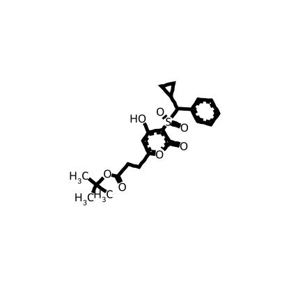 CC(C)(C)OC(=O)CCc1cc(O)c(S(=O)(=O)C(c2ccccc2)C2CC2)c(=O)o1